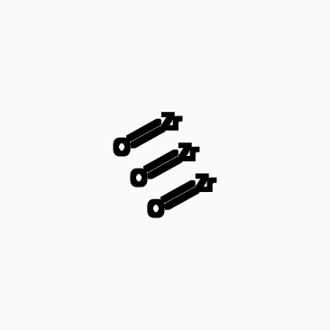 [O]=[Zr].[O]=[Zr].[O]=[Zr]